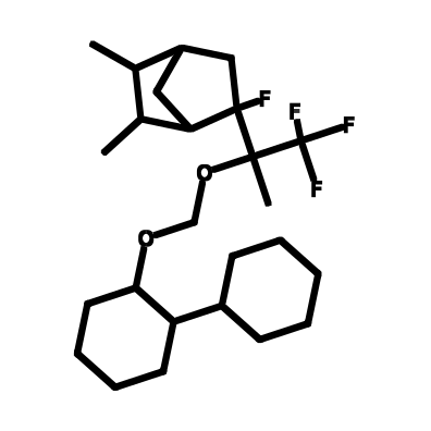 CC1C2CC(C1C)C(F)(C(C)(OCOC1CCCCC1C1CCCCC1)C(F)(F)F)C2